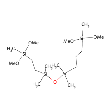 CO[Si](C)(CCC[Si](C)(C)O[Si](C)(C)CC[Si](C)(OC)OC)OC